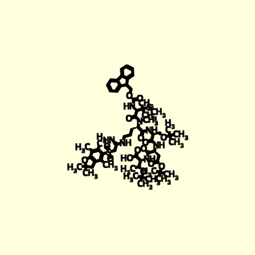 CSC(C)(C)[C@H](NC(=O)OCC1c2ccccc2-c2ccccc21)C(=O)N(C)[C@@H](CCCNC(=N)CS(=O)(=O)c1c(C)c(C)c2c(c1C)CC(C)(C)O2)C(=O)N[C@@H](COC(C)(C)C)C(=O)N[C@@H](CC(=O)OC(C)(C)C)C(=O)N[C@H](C(=O)O)C(C)OC(C)(C)C